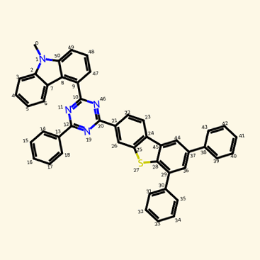 Cn1c2ccccc2c2c(-c3nc(-c4ccccc4)nc(-c4ccc5c(c4)sc4c(-c6ccccc6)cc(-c6ccccc6)cc45)n3)cccc21